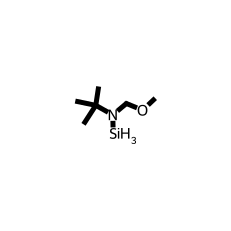 COCN([SiH3])C(C)(C)C